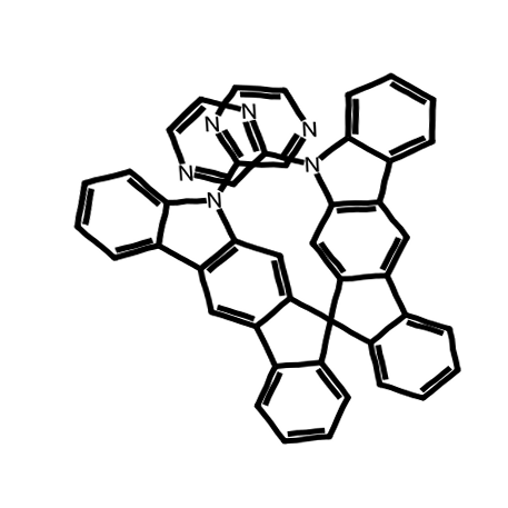 c1ccc2c(c1)-c1cc3c4ccccc4n(-c4cnccn4)c3cc1C21c2ccccc2-c2cc3c4ccccc4n(-c4cnccn4)c3cc21